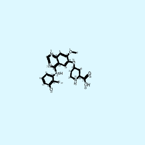 COc1cc2ncnc([AsH]c3cccc(Cl)c3F)c2cc1OC1CCNC(C(=O)O)C1